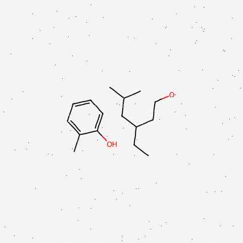 CCC(CC[O])CC(C)C.Cc1ccccc1O